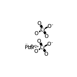 [O]=[Cr](=[O])([O-])[O-].[O]=[Cr](=[O])([O-])[O-].[Pb+2].[Sr+2]